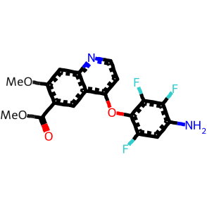 COC(=O)c1cc2c(Oc3c(F)cc(N)c(F)c3F)ccnc2cc1OC